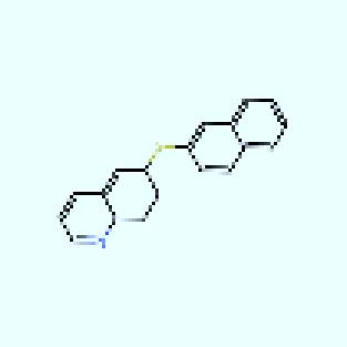 C1=CC2=CC(Sc3ccc4ccccc4c3)CCC2N=C1